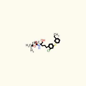 CCc1cccc(Sc2ccc(CCC[C@](C)(CO)NC(=O)OC(C)(C)C)c(Cl)c2)c1